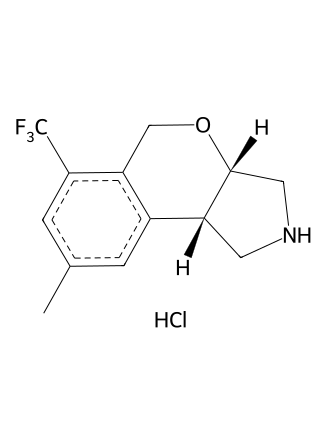 Cc1cc2c(c(C(F)(F)F)c1)CO[C@@H]1CNC[C@H]21.Cl